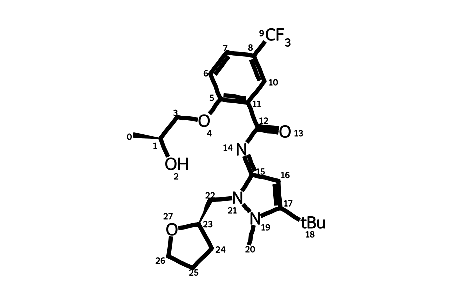 C[C@H](O)COc1ccc(C(F)(F)F)cc1C(=O)/N=c1\cc(C(C)(C)C)n(C)n1C[C@H]1CCCO1